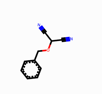 N#C[C](C#N)OCc1ccccc1